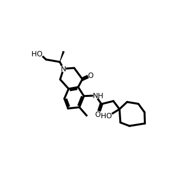 Cc1ccc2c(c1NC(=O)CC1(O)CCCCCC1)C(=O)CN([C@H](C)CO)C2